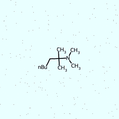 CCCCCC(C)(C)N(C)C